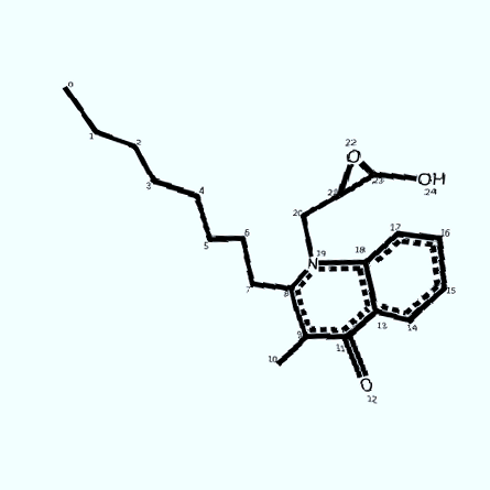 CCCCCCCCc1c(C)c(=O)c2ccccc2n1CC1OC1O